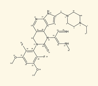 CCN1CCN(Cc2cc3c4c(cnc3[nH]2)CN(c2c(F)c(OC)cc(OC)c2F)C(=O)N4/C(C=N)=C/NC)CC1